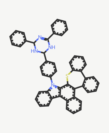 c1ccc(C2=NC(c3ccccc3)NC(c3ccc(-n4c5ccccc5c5c6ccccc6c6c(c54)Sc4ccccc4-c4ccccc4-6)cc3)N2)cc1